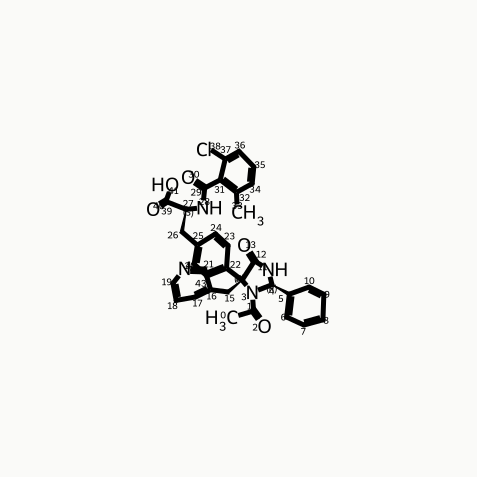 CC(=O)N1[C@H](c2ccccc2)NC(=O)[C@@]1(Cc1cccnc1)c1ccc(C[C@H](NC(=O)c2c(C)cccc2Cl)C(=O)O)cc1